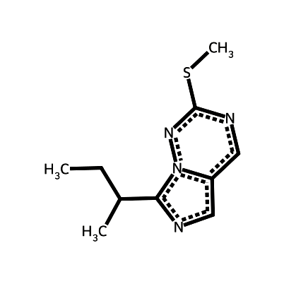 CCC(C)c1ncc2cnc(SC)nn12